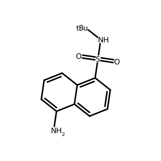 CC(C)(C)NS(=O)(=O)c1cccc2c(N)cccc12